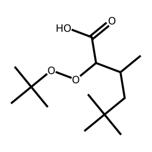 CC(CC(C)(C)C)C(OOC(C)(C)C)C(=O)O